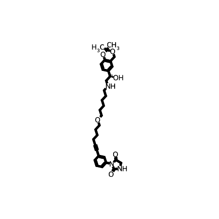 CC1(C)OCc2cc([C@@H](O)CNCCCCCCOCCCCC#Cc3cccc(N4C(=O)CNC4=O)c3)ccc2O1